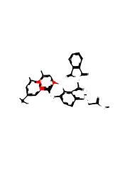 CNC(=O)Cn1nc(N2C(=O)c3ccccc3C2=O)c2c(Oc3cc(F)ccc3Cl)c(NC(=O)c3cc(F)cc(C(F)(F)F)c3)ccc21